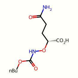 CCCCOC(=O)NO[C@H](CCC(N)=O)C(=O)O